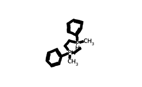 C[PH]1(c2ccccc2)CC[PH](C)(c2ccccc2)CC1